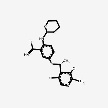 Cc1ncc(Cl)c([C@@H](C)Oc2ccc(NC3CCCCO3)c(C(=N)I)c2)c1Cl